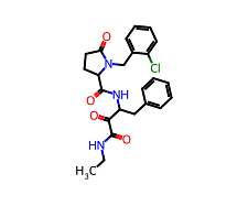 CCNC(=O)C(=O)C(Cc1ccccc1)NC(=O)C1CCC(=O)N1Cc1ccccc1Cl